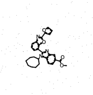 COC(=O)c1ccc2c(c1)nc(-c1cccc3nc(-c4ccco4)oc13)n2C1CCCCCCC1